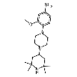 COc1cc(N)ccc1N1CCN(C2CC(C)(C)NC(C)(C)C2)CC1